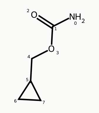 NC(=O)OC[C]1CC1